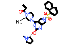 C=CC(=O)N1CCN(c2nc(OC[C@@H]3CCCN3C)nc3c2CN(S(=O)(=O)c2cccc4ccccc24)C3)C[C@@H]1CC#N